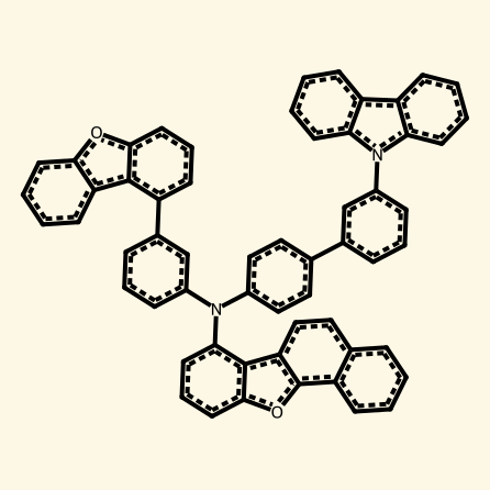 c1cc(-c2cccc3oc4ccccc4c23)cc(N(c2ccc(-c3cccc(-n4c5ccccc5c5ccccc54)c3)cc2)c2cccc3oc4c5ccccc5ccc4c23)c1